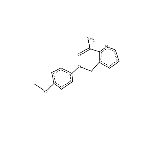 COc1ccc(OCc2cccnc2C(N)=O)cc1